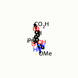 COCCNCCN(Cc1ccccn1)CC(O)[C@@]12CC[C@]3(C)[C@H](CCC4[C@@]5(C)CC[C@H](OC(=O)CC(C)(C)C(=O)O)C(C)(C)[C@@H]5CC[C@]43C)C1=C(C(C)C)C(=O)C2